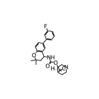 CC1(C)CC(NC(=O)O[C@H]2CN3CCC2CC3)c2cc(-c3cccc(F)c3)ccc2O1